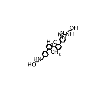 Cc1c(-c2ccc(CNCCO)cc2)cccc1-c1cccc(-c2ccn3c(NCCO)nnc3c2)c1C